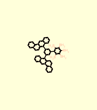 Bc1c(B)c(B)c(-c2cc(-c3c4ccccc4cc4c3ccc3ccccc34)cc(-c3c4ccccc4cc4c3ccc3ccccc34)c2)c(B)c1B